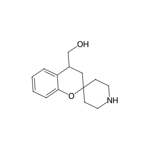 OCC1CC2(CCNCC2)Oc2ccccc21